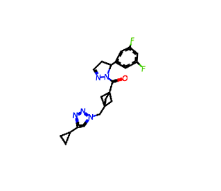 O=C(N1N=CCC1c1cc(F)cc(F)c1)C12CC(Cn3cc(C4CC4)nn3)(C1)C2